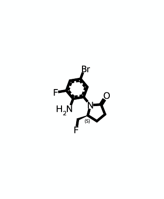 Nc1c(F)cc(Br)cc1N1C(=O)CC[C@H]1CF